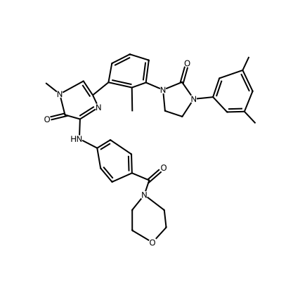 Cc1cc(C)cc(N2CCN(c3cccc(-c4cn(C)c(=O)c(Nc5ccc(C(=O)N6CCOCC6)cc5)n4)c3C)C2=O)c1